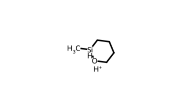 C[SiH]1CCCCO1.[H+]